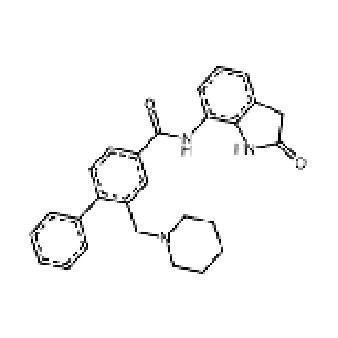 O=C1Cc2cccc(NC(=O)c3ccc(-c4ccccc4)c(CN4CCCCC4)c3)c2N1